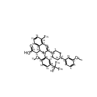 COc1cccc(N2CCN(C3=Nc4c(F)cccc4C(CC(=O)O)N3c3cc(C(F)(F)F)ccc3OC)CC2)c1